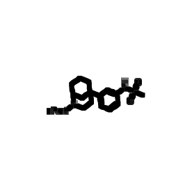 CCCCCN1CCC2(c3cccc(NS(C)(=O)=O)c3)CCCC1C2